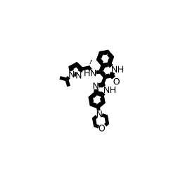 CC(C)n1ccc([C@H](C)Nc2c(-c3nc4ccc(N5CCOCC5)cc4[nH]3)c(=O)[nH]c3ccccc23)n1